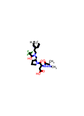 C/C=C\C(=C/C)CCN(C[C@@H]1CCCN1C(=O)C(CC(=O)O)NC(=O)[C@H](C)NC)C(O)C(F)(F)F